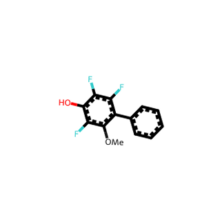 COc1c(F)c(O)c(F)c(F)c1-c1ccccc1